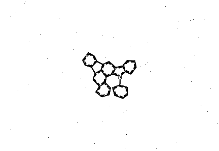 c1ccc(-n2c3ccccc3c3cc4c5c(cc6ccccc6c5c32)-c2ccccc2-4)cc1